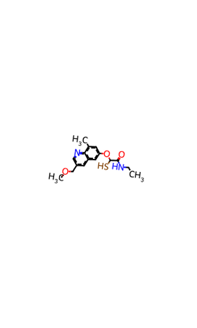 CCNC(=O)C(S)Oc1cc(C)c2ncc(COC)cc2c1